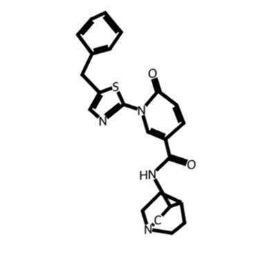 O=C(NC1CN2CCC1CC2)c1ccc(=O)n(-c2ncc(Cc3ccccc3)s2)c1